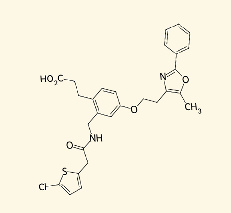 Cc1oc(-c2ccccc2)nc1CCOc1ccc(CCC(=O)O)c(CNC(=O)Cc2ccc(Cl)s2)c1